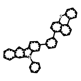 c1ccc(-n2c3cc(-c4cccc(-c5ccc6c7c(cccc57)-c5ccccc5S6)c4)ccc3c3cc4ccccc4cc32)cc1